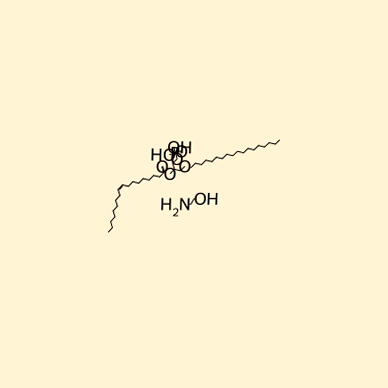 CCCCCCCC/C=C\CCCCCCCC(=O)OC(COCCCCCCCCCCCCCCCCCC)COP(=O)(O)O.NCCO